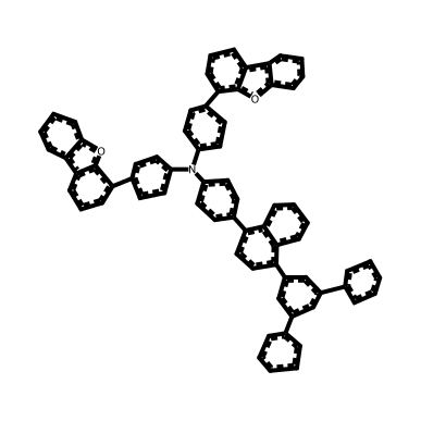 c1ccc(-c2cc(-c3ccccc3)cc(-c3ccc(-c4ccc(N(c5ccc(-c6cccc7c6oc6ccccc67)cc5)c5ccc(-c6cccc7c6oc6ccccc67)cc5)cc4)c4ccccc34)c2)cc1